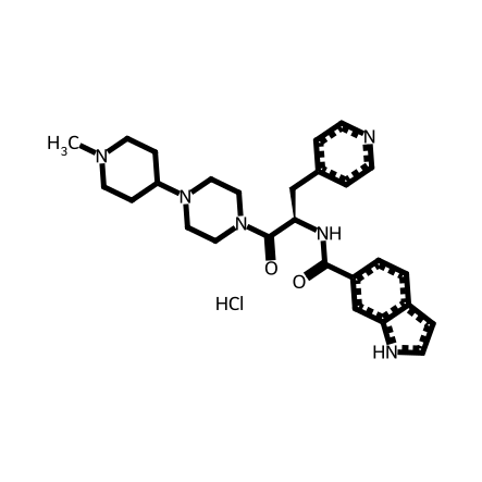 CN1CCC(N2CCN(C(=O)[C@@H](Cc3ccncc3)NC(=O)c3ccc4cc[nH]c4c3)CC2)CC1.Cl